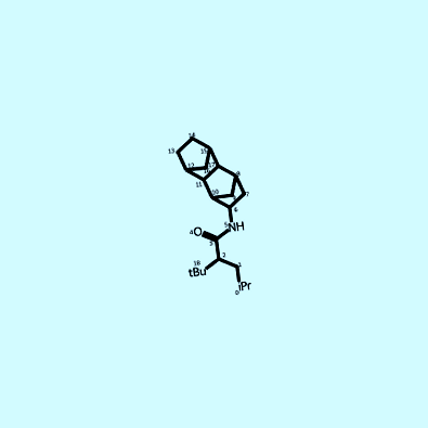 CC(C)CC(C(=O)NC1CC2CC1C1C3CCC(C3)C21)C(C)(C)C